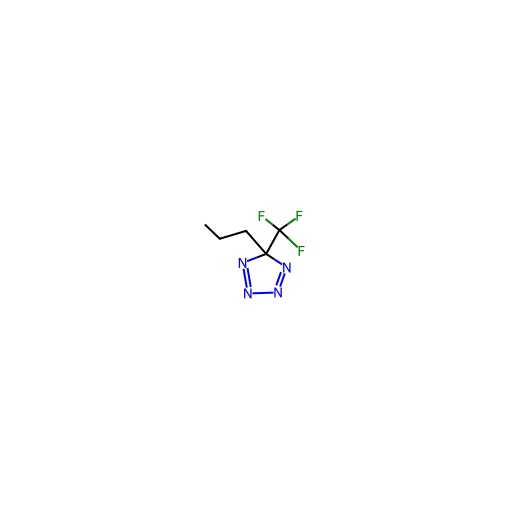 CCCC1(C(F)(F)F)N=NN=N1